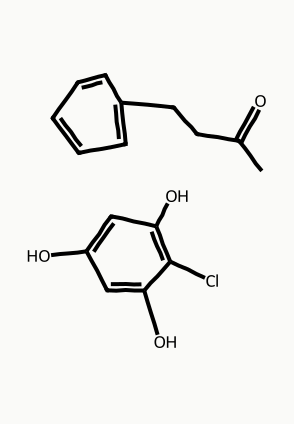 CC(=O)CCc1ccccc1.Oc1cc(O)c(Cl)c(O)c1